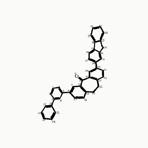 O=C1c2cc(-c3cccc(-c4ccccc4)c3)ccc2CCc2ccc(-c3ccc4c(c3)Cc3ccccc3-4)cc21